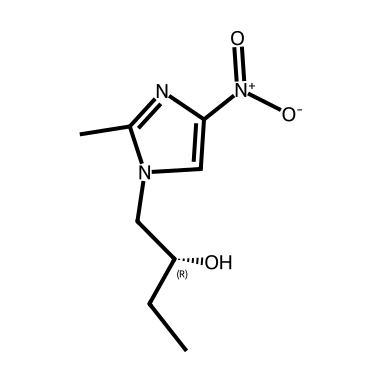 CC[C@@H](O)Cn1cc([N+](=O)[O-])nc1C